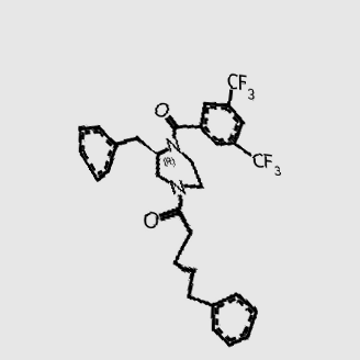 O=C(CCCCc1ccccc1)N1CCN(C(=O)c2cc(C(F)(F)F)cc(C(F)(F)F)c2)[C@H](Cc2ccccc2)C1